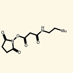 CC(C)(C)CCNC(=O)CC(=O)ON1C(=O)CCC1=O